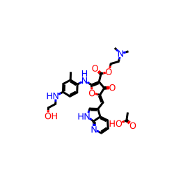 CC(=O)O.Cc1cc(NCCO)ccc1NC1=C(C(=O)OCCN(C)C)C(=O)C(=Cc2c[nH]c3ncccc23)O1